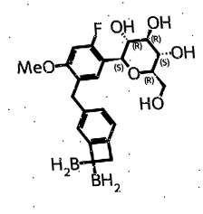 BC1(B)Cc2ccc(Cc3cc([C@@H]4O[C@H](CO)[C@@H](O)[C@H](O)[C@H]4O)c(F)cc3OC)cc21